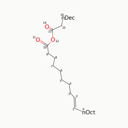 CCCCCCCCC=CCCCCCCCC(=O)OC(=O)CCCCCCCCCCC